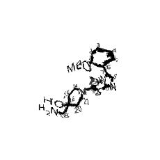 COc1ccccc1-c1cnc2sc(N3CCC(O)(CN)CC3)nn12